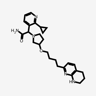 NC(=O)C(c1cccnc1C1CC1)N1CCC(OCCCCc2ccc3c(n2)NCCC3)C1